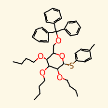 CCCCOC1[C@@H](OCCCC)C(COC(c2ccccc2)(c2ccccc2)c2ccccc2)O[C@@H](Sc2ccc(C)cc2)[C@H]1OCCCC